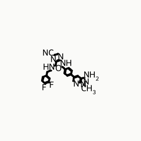 Cn1nc(N)c2cc(-c3ccc(CNc4ncc(C#N)nc4C(=O)NCCc4ccc(F)c(F)c4)cc3)cnc21